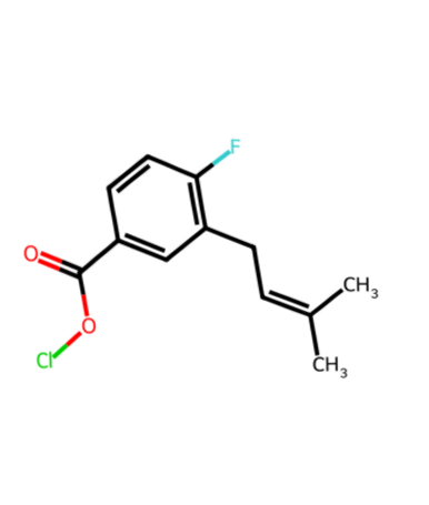 CC(C)=CCc1cc(C(=O)OCl)ccc1F